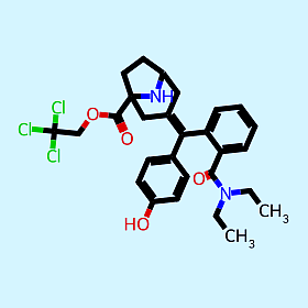 CCN(CC)C(=O)c1ccccc1C(=C1CC2CCC(C(=O)OCC(Cl)(Cl)Cl)(C1)N2)c1ccc(O)cc1